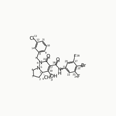 C[C@]12CCCN1N(Cc1cccc(Cl)c1)C(=O)C(C(=O)Nc1cc(F)c(Br)c(F)c1)=C2O